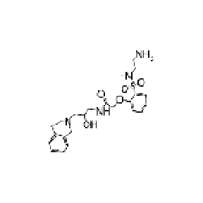 CN(CCN)S(=O)(=O)c1ccccc1OCC(=O)NC[C@@H](O)CN1CCc2ccccc2C1